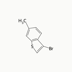 Cc1ccc2c(Br)csc2c1